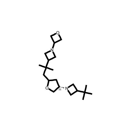 CC(C)(C)C1CN([C@@H]2COC(CC(C)(C)C3CN(C4COC4)C3)C2)C1